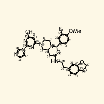 COc1ccc(CN2CCN(c3cc(C)nc(-n4ccnc4)n3)CC2CC(=O)NCCc2ccc3c(c2)OCO3)cc1F